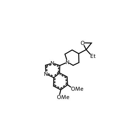 CCC1(C2CCN(c3ncnc4cc(OC)c(OC)cc34)CC2)CO1